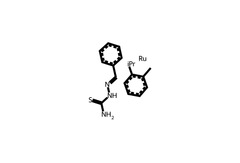 Cc1ccccc1C(C)C.NC(=S)NN=Cc1ccccc1.[Ru]